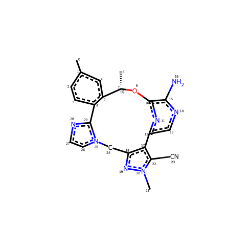 Cc1ccc2c(c1)[C@H](C)Oc1nc(cnc1N)-c1c(nn(C)c1C#N)Cn1ccnc1-2